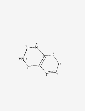 C1=CC2=C(CC1)[N]CNC2